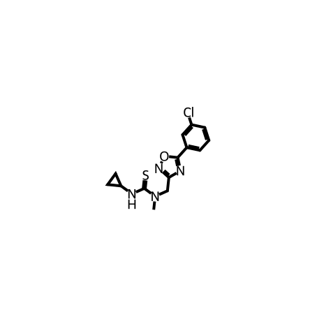 CN(Cc1noc(-c2cccc(Cl)c2)n1)C(=S)NC1CC1